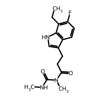 CCc1c(F)ccc2c(CCC(=O)N(C)C(=O)NC)c[nH]c12